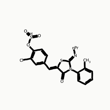 CCC/N=C1\S/C(=C\c2ccc(O[SH](=O)=O)c(Cl)c2)C(=O)N1c1ccccc1C